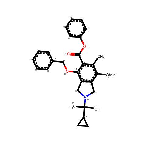 COc1c(C)c(C(=O)Oc2ccccc2)c(OCc2ccccc2)c2c1CN(C(C)(C)C1CC1)C2